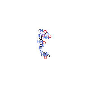 CNC(=O)c1ccc(OCCN2CCCC(Cc3nc4ccc(CNC(=O)c5ccc(N(C)CCN6CCCC(Cc7nc8ccccc8c(=O)[nH]7)C6)cn5)cc4c(=O)[nH]3)C2)cn1